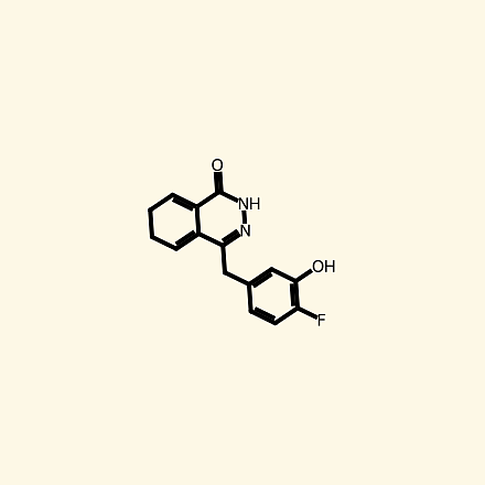 O=c1[nH]nc(Cc2ccc(F)c(O)c2)c2c1=CCCC=2